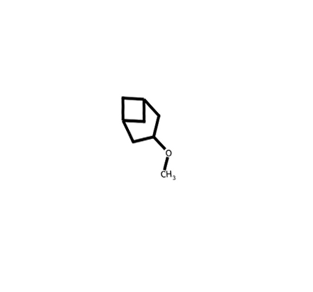 COC1CC2CC(C2)C1